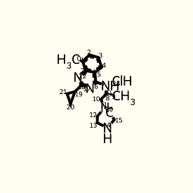 Cc1cccc2c(N[C@@H](C)CN3CCNCC3)nc(C3CC3)nc12.Cl